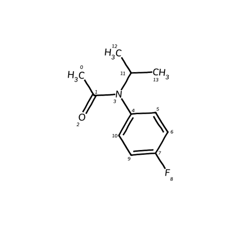 CC(=O)N(c1ccc(F)cc1)C(C)C